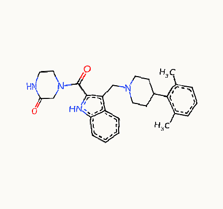 Cc1cccc(C)c1C1CCN(Cc2c(C(=O)N3CCNC(=O)C3)[nH]c3ccccc23)CC1